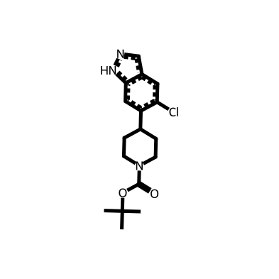 CC(C)(C)OC(=O)N1CCC(c2cc3[nH]ncc3cc2Cl)CC1